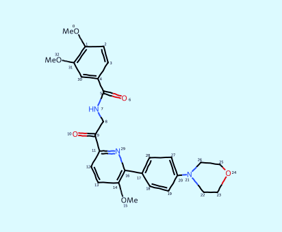 COc1ccc(C(=O)NCC(=O)c2ccc(OC)c(-c3ccc(N4CCOCC4)cc3)n2)cc1OC